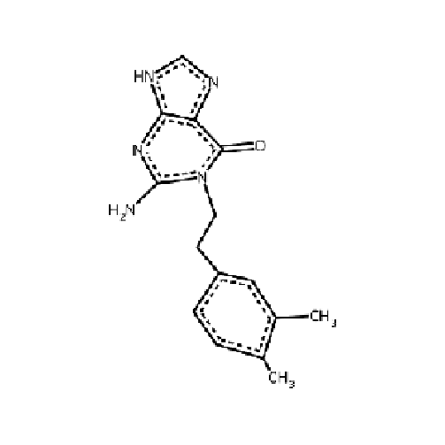 Cc1ccc(CCn2c(N)nc3[nH]cnc3c2=O)cc1C